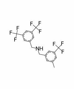 Cc1cc(CNCc2cc(C(F)(F)F)cc(C(F)(F)F)c2)cc(C(F)(F)F)c1